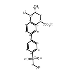 CCOC(=O)N1C[C@H](C)N(C(C)=O)c2ccc(-c3ccc(S(=O)(=O)CC(C)C)cc3)cc21